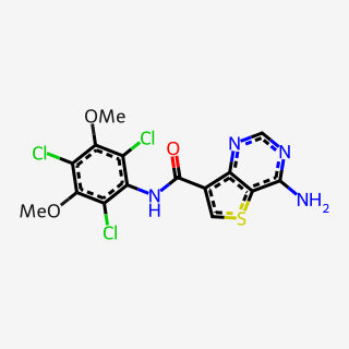 COc1c(Cl)c(NC(=O)c2csc3c(N)ncnc23)c(Cl)c(OC)c1Cl